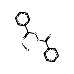 CF.O=C(OOC(=O)c1ccccc1)c1ccccc1